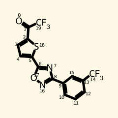 O=C(c1ccc(-c2nc(-c3cccc(C(F)(F)F)c3)no2)s1)C(F)(F)F